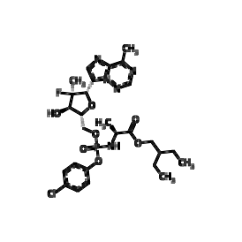 CCC(CC)COC(=O)[C@H](C)NP(=O)(OC[C@H]1O[C@@H](c2cnc3c(C)ncnn23)[C@](C)(F)[C@@H]1O)Oc1ccc(Cl)cc1